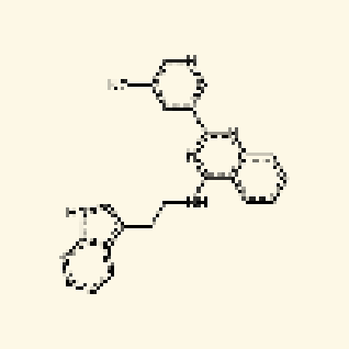 N#Cc1cncc(-c2nc(NCCc3c[nH]c4ccccc34)c3ccccc3n2)c1